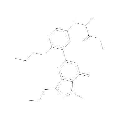 CCCOc1ncc(NC(C)C(=O)OC)cc1-c1nc2c(CCC)nn(C)c2c(=O)[nH]1